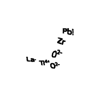 [La].[O-2].[O-2].[Pb].[Ti+4].[Zr]